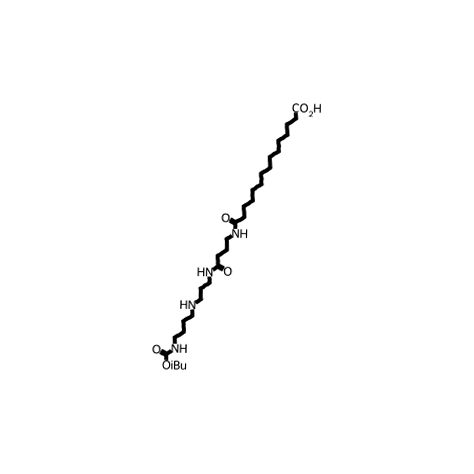 CC(C)COC(=O)NCCCCNCCCNC(=O)CCCNC(=O)CCCCCCCCCCCCCC(=O)O